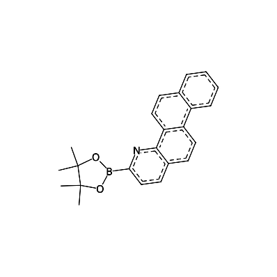 CC1(C)OB(c2ccc3ccc4c5ccccc5ccc4c3n2)OC1(C)C